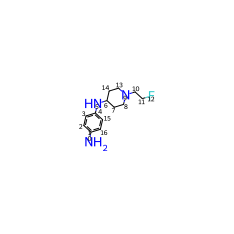 Nc1ccc(NC2CCN(CCF)CC2)cc1